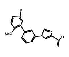 COc1ccc(F)cc1-c1cccc(-n2cnc(C(=O)Cl)c2)c1